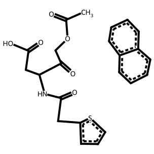 CC(=O)OCC(=O)C(CC(=O)O)NC(=O)Cc1cccs1.c1ccc2ccccc2c1